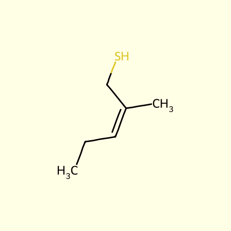 CCC=C(C)CS